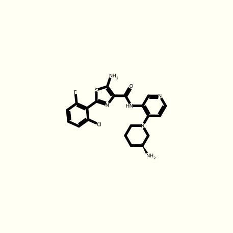 Nc1sc(-c2c(F)cccc2Cl)nc1C(=O)Nc1cnccc1N1CCC[C@H](N)C1